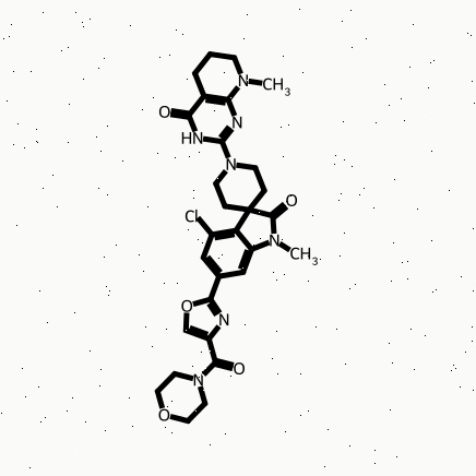 CN1CCCc2c1nc(N1CCC3(CC1)C(=O)N(C)c1cc(-c4nc(C(=O)N5CCOCC5)co4)cc(Cl)c13)[nH]c2=O